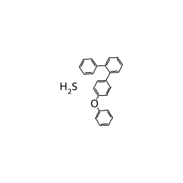 S.c1ccc(Oc2ccc(-c3ccccc3-c3ccccc3)cc2)cc1